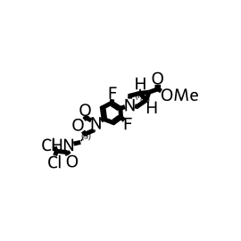 COC(=O)C1[C@H]2CN(c3c(F)cc(N4C[C@H](CNC(=O)C(Cl)Cl)OC4=O)cc3F)C[C@@H]12